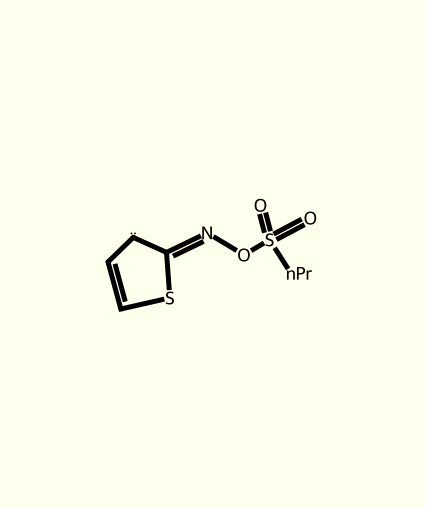 CCCS(=O)(=O)ON=C1[C]C=CS1